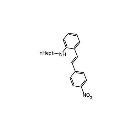 CCCCCCCNc1ccccc1/C=C/c1ccc([N+](=O)[O-])cc1